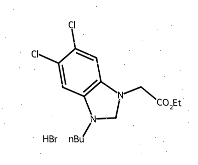 Br.CCCCN1CN(CC(=O)OCC)c2cc(Cl)c(Cl)cc21